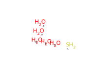 O.O.O.O.O.S